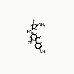 Nc1ccc(-c2c(Cl)cc(Nc3n[nH]c(N)n3)cc2Cl)cc1